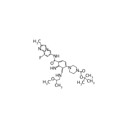 COC(C)CN/C=C1\C(=N)C(C(=O)Nc2cc(F)c3nc(C)cn3c2)=CC=C1N1CCN(C(=O)OC(C)(C)C)CC1